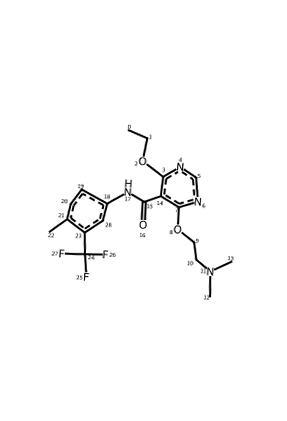 CCOc1ncnc(OCCN(C)C)c1C(=O)Nc1ccc(C)c(C(F)(F)F)c1